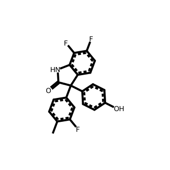 Cc1ccc(C2(c3ccc(O)cc3)C(=O)Nc3c2ccc(F)c3F)cc1F